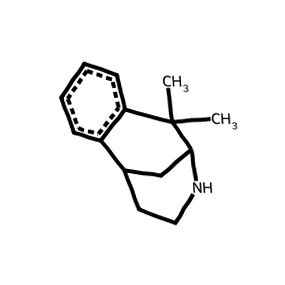 CC1(C)c2ccccc2C2CCNC1C2